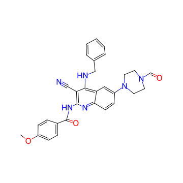 COc1ccc(C(=O)Nc2nc3ccc(N4CCN(C=O)CC4)cc3c(NCc3ccccc3)c2C#N)cc1